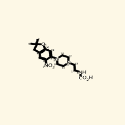 CC1(C)Cc2cc([N+](=O)[O-])c(N3CCN(CCNC(=O)O)CC3)cc2O1